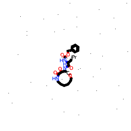 CC(C)CC(NC(=O)OCc1ccccc1)C(=O)NC1COCCCCCCNC(=O)C1=O